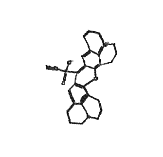 COP(=O)([O-])C1=c2cc3c4c(c2Oc2c1cc1c5c2CCCN5CCC1)CCC[N+]=4CCC3